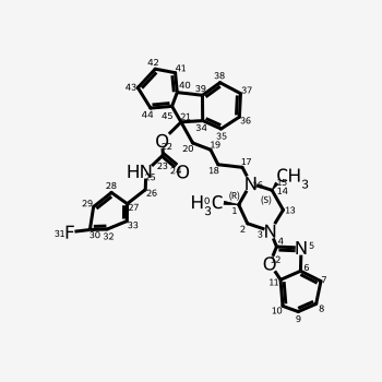 C[C@@H]1CN(c2nc3ccccc3o2)C[C@H](C)N1CCCCC1(OC(=O)NCc2ccc(F)cc2)c2ccccc2-c2ccccc21